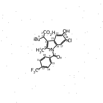 CCC(C)C(C(=O)O)c1c(C)n(C(=O)c2ccc(C(F)(F)F)cc2)c2cc(Cl)c(O)cc12